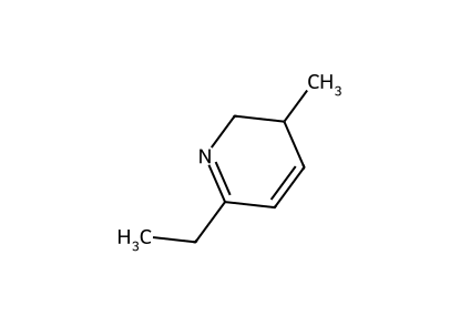 CCC1=NCC(C)C=C1